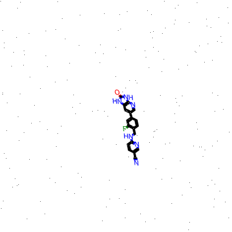 N#Cc1ccc(NCc2ccc(-c3cnc4[nH]c(=O)[nH]c4c3)cc2F)nc1